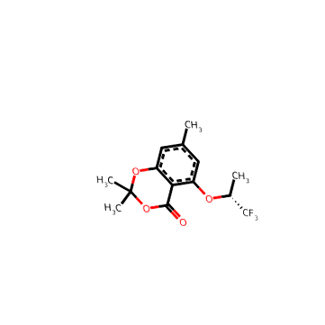 Cc1cc(O[C@H](C)C(F)(F)F)c2c(c1)OC(C)(C)OC2=O